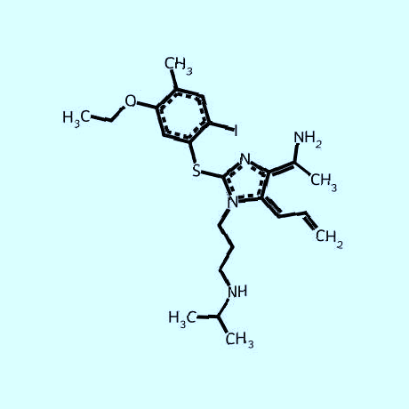 C=C/C=c1\c(=C(/C)N)nc(Sc2cc(OCC)c(C)cc2I)n1CCCNC(C)C